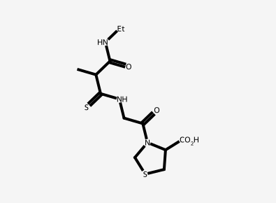 CCNC(=O)C(C)C(=S)NCC(=O)N1CSCC1C(=O)O